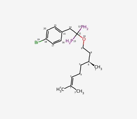 CC(C)=CCC[C@H](C)CCOC(P)(P)Cc1ccc(Br)cc1